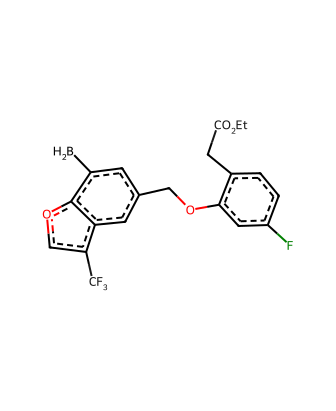 Bc1cc(COc2cc(F)ccc2CC(=O)OCC)cc2c(C(F)(F)F)coc12